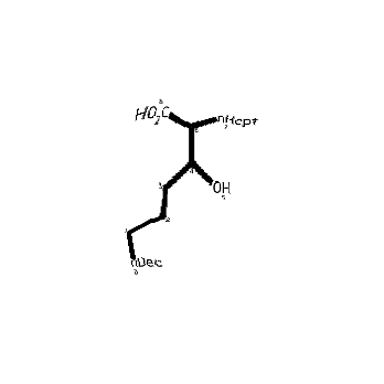 CCCCCCCCCCCCCC(O)C(CCCCCCC)C(=O)O